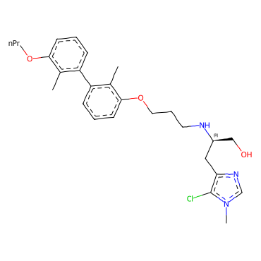 [CH2]CCOc1cccc(-c2cccc(OCCCN[C@@H](CO)Cc3ncn(C)c3Cl)c2C)c1C